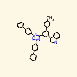 Cc1ccc(-c2cc(-c3nc(-c4ccc(-c5ccccc5)cc4)nc(-c4ccc(-c5ccccc5)cc4)n3)cc(-c3ccnc4ccccc34)c2)cc1